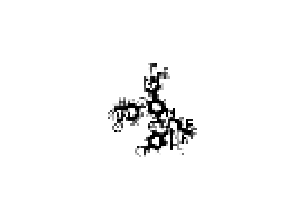 N[C@@H](Cc1nc2cc(-c3cnn(C(F)F)c3)c(O[C@H]3CCN4C(=O)OC[C@@H]4C3)cc2c(=O)n1Cc1ccc(Cl)cc1)C(F)(F)F